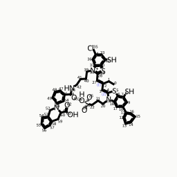 CCC(/C=C1\Sc2c(S)cc(-c3ccccc3)cc2N1CCCS(=O)(=O)O)=C\c1sc2c(S)cc(Cl)cc2[n+]1CCCCNC(=O)c1cccc(N2Cc3ccccc3CC2C(=O)O)c1